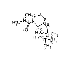 CN(C)C(=O)N1CCC[C@@H](O[Si](C)(C)C(C)(C)C)C1